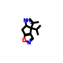 CC(C)C1(C(C)C)c2cnoc2CC1N